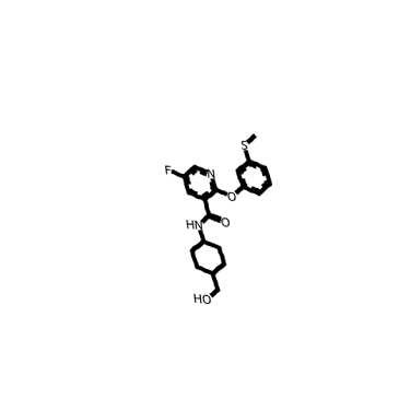 CSc1cccc(Oc2ncc(F)cc2C(=O)NC2CCC(CO)CC2)c1